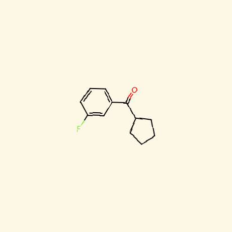 O=C(c1cccc(F)c1)C1CCCC1